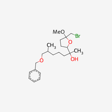 COC1(CBr)CCC(C(C)(O)CCCC(C)COCc2ccccc2)O1